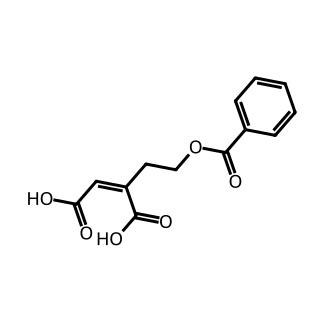 O=C(O)C=C(CCOC(=O)c1ccccc1)C(=O)O